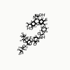 CC(C)c1cc(-c2nnc(O)n2-c2ccc(CN3CCN(CC(=O)Nc4ccn([C@@H]5O[C@H](CO[Si](C)(C)C(C)(C)C)[C@@H](O[Si](C)(C)C(C)(C)C)C5(F)F)c(=O)n4)CC3)c(F)c2)c(O)cc1O